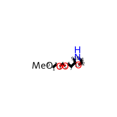 COCCOCOCCC1CNCCO1